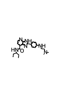 CCC(CC)NC(=O)c1ccnc2[nH]c(-c3ccc(NCCN(C)C)cc3)nc12